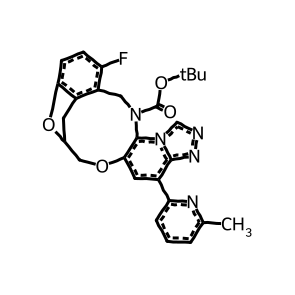 Cc1cccc(-c2cc3c(n4cnnc24)N(C(=O)OC(C)(C)C)Cc2c(F)ccc4c2CC(CO3)O4)n1